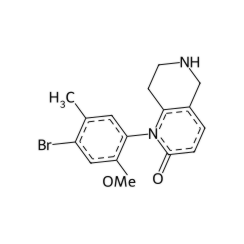 COc1cc(Br)c(C)cc1-n1c2c(ccc1=O)CNCC2